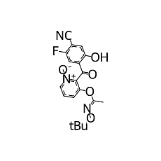 CC(=NOC(C)(C)C)Oc1ccc[n+]([O-])c1C(=O)c1cc(F)c(C#N)cc1O